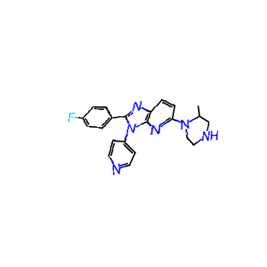 CC1CNCCN1c1ccc2nc(-c3ccc(F)cc3)n(-c3ccncc3)c2n1